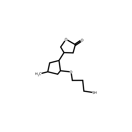 CC1CC(OCCCS)C(C2COC(=O)C2)C1